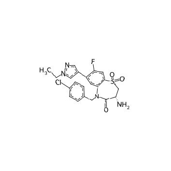 CCn1cc(-c2cc3c(cc2F)S(=O)(=O)C[C@H](N)C(=O)N3Cc2ccc(Cl)cc2)cn1